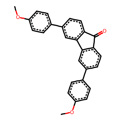 COc1ccc(-c2ccc3c(c2)-c2cc(-c4ccc(OC)cc4)ccc2C3=O)cc1